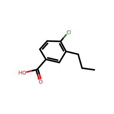 CCCc1cc(C(=O)O)ccc1Cl